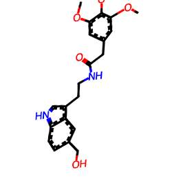 COc1cc(CC(=O)NCCc2c[nH]c3ccc(CO)cc23)cc(OC)c1OC